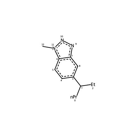 CCCC(CC)c1ccc2c(c1)nnn2C